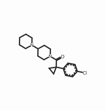 O=C(N1CCC(N2CCCCC2)CC1)C1(c2ccc(Cl)cc2)CC1